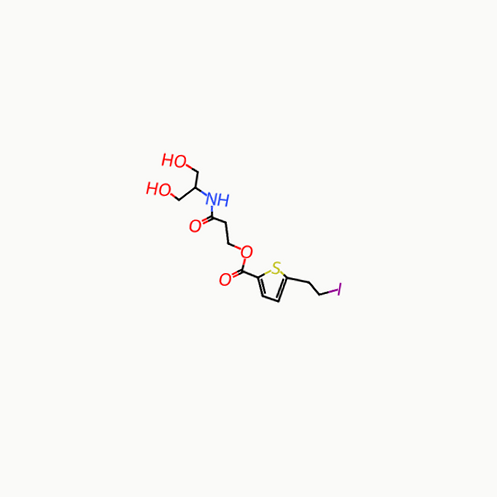 O=C(CCOC(=O)c1ccc(CCI)s1)NC(CO)CO